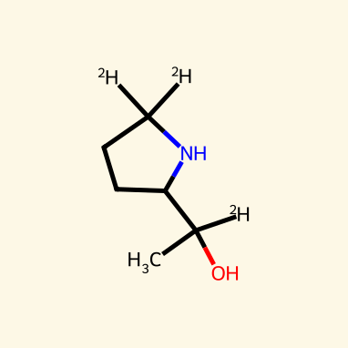 [2H]C1([2H])CCC(C([2H])(C)O)N1